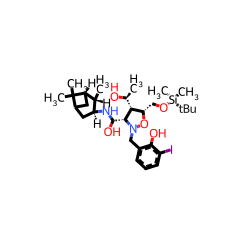 C[C@@H]1[C@@H](NC(O)[C@@H]2[C@H]([C@H](C)O)[C@H](CO[Si](C)(C)C(C)(C)C)ON2Cc2cccc(I)c2O)CC2C[C@@H]1C2(C)C